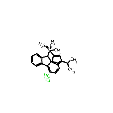 CC(C)C1=CC[C]([Ti]([CH3])([CH3])(=[SiH2])[CH]2c3ccccc3-c3ccccc32)=C1.Cl.Cl